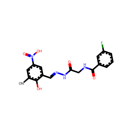 O=Nc1cc([N+](=O)O)cc(/C=N/NC(=O)CNC(=O)c2cccc(F)c2)c1O